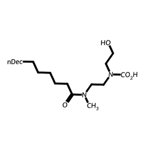 CCCCCCCCCCCCCCCC(=O)N(C)CCN(CCO)C(=O)O